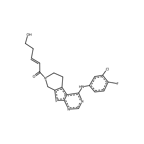 O=C(C=CCCO)N1CCc2c(sc3ncnc(Nc4ccc(F)c(Cl)c4)c23)C1